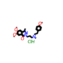 COc1ccc(CCN(C)CCCn2nc(C)c3cc(OC)c(OC)cc3c2=O)cc1.Cl